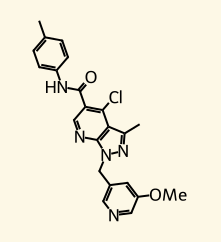 COc1cncc(Cn2nc(C)c3c(Cl)c(C(=O)Nc4ccc(C)cc4)cnc32)c1